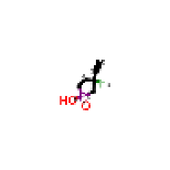 C#CC1(F)CCP(=O)(O)C1